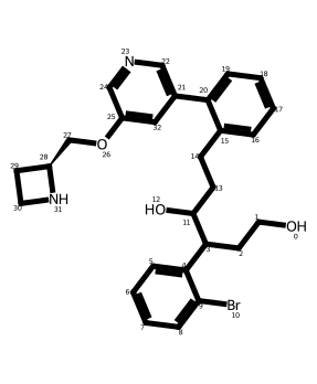 OCCC(c1ccccc1Br)C(O)CCc1ccccc1-c1cncc(OC[C@@H]2CCN2)c1